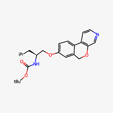 CC(C)C[C@@H](COc1ccc2c(c1)COc1cnccc1-2)NC(=O)OC(C)(C)C